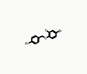 CC(C)c1ccc(COc2ccc(Br)cc2F)cc1